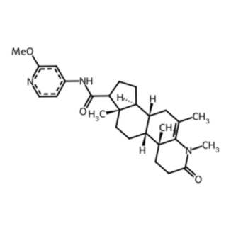 COc1cc(NC(=O)C2CC[C@H]3[C@@H]4CC(C)=C5N(C)C(=O)CC[C@]5(C)[C@@H]4CC[C@]23C)ccn1